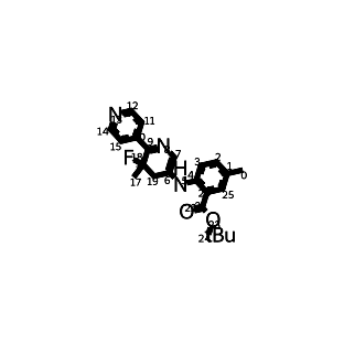 Cc1ccc(NC2=CN=C(c3ccncc3)C(C)(F)C2)c(C(=O)OC(C)(C)C)c1